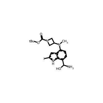 CN(c1ccc(C(N)O)c2[nH]c(I)cc12)C1CN(C(=O)OC(C)(C)C)C1